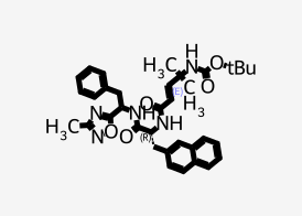 Cc1noc(C(Cc2ccccc2)NC(=O)[C@@H](Cc2ccc3ccccc3c2)NC(=O)/C=C/C(C)(C)NC(=O)OC(C)(C)C)n1